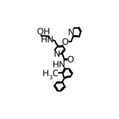 Cc1c(NC(=O)c2cc(OCc3ccccn3)c(CNCCO)cn2)cccc1-c1ccccc1